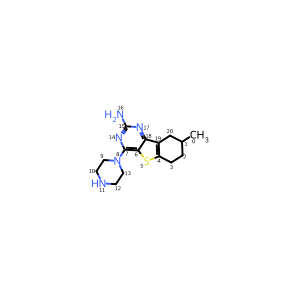 CC1CCc2sc3c(N4CCNCC4)nc(N)nc3c2C1